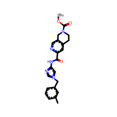 Cc1cccc(Cn2cnc(NC(=O)c3cc4c(cn3)CN(C(=O)OC(C)(C)C)CC4)c2)c1